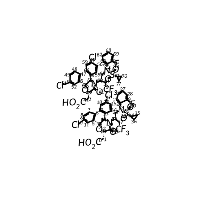 O=C(O)C[C@@H]1O[C@H](c2cccc(Cl)c2)[C@@H](c2ccc(Cl)cc2)N([C@@H](CN(c2ccccc2F)S(=O)(=O)C2CC2)CC(F)(F)F)C1=O.O=C(O)C[C@H]1O[C@H](c2cccc(Cl)c2)[C@@H](c2ccc(Cl)cc2)N([C@@H](CN(c2ccccc2F)S(=O)(=O)C2CC2)CC(F)(F)F)C1=O